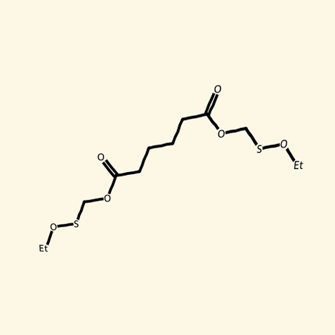 CCOSCOC(=O)CCCCC(=O)OCSOCC